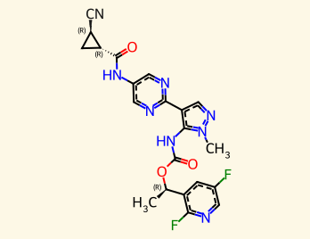 C[C@@H](OC(=O)Nc1c(-c2ncc(NC(=O)[C@@H]3C[C@H]3C#N)cn2)cnn1C)c1cc(F)cnc1F